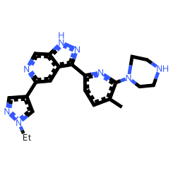 CCn1cc(-c2cc3c(-c4ccc(C)c(N5CCNCC5)n4)n[nH]c3cn2)cn1